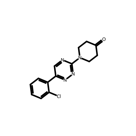 O=C1CCN(c2ncc(-c3ccccc3Cl)nn2)CC1